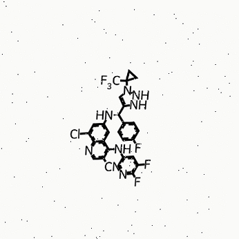 N#Cc1cnc2c(Cl)cc(N[C@H](C3=CN(C4(C(F)(F)F)CC4)NN3)c3ccc(F)cc3)cc2c1Nc1cnc(F)c(F)c1